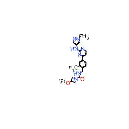 CC(C)OC1CN(C(=O)NCc2ccc(-c3ccnc(Nc4cnn(C)c4)n3)cc2C(F)(F)F)C1